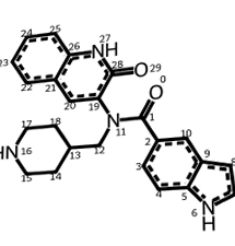 O=C(c1ccc2[nH]ccc2c1)N(CC1CCNCC1)c1cc2ccccc2[nH]c1=O